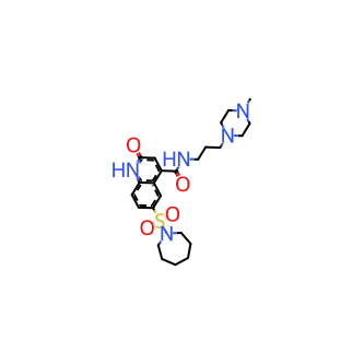 CN1CCN(CCCNC(=O)c2cc(=O)[nH]c3ccc(S(=O)(=O)N4CCCCCC4)cc23)CC1